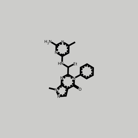 CCC(Nc1cc(C)nc(N)n1)c1nc2c(cnn2C)c(=O)n1-c1ccccc1